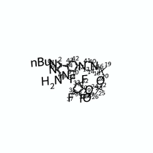 CCCCn1cc2c(n1)c(N)nc1cc(N3CCN(CC(C)(C)COCC(C)(C)CC(=O)Oc4c(F)c(F)cc(F)c4F)CC3)ccc12